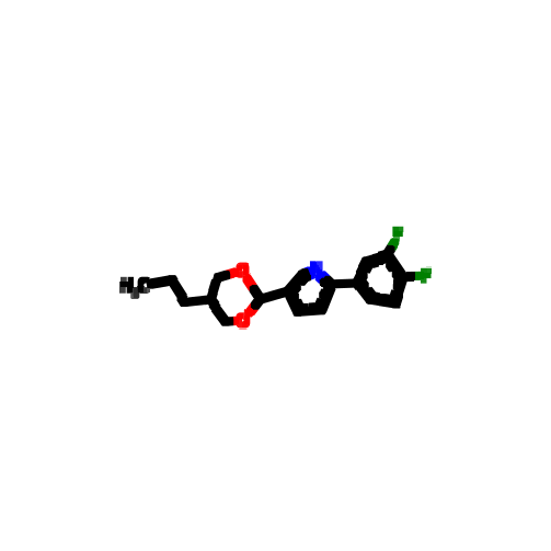 CCCC1COC(c2ccc(-c3ccc(F)c(F)c3)nc2)OC1